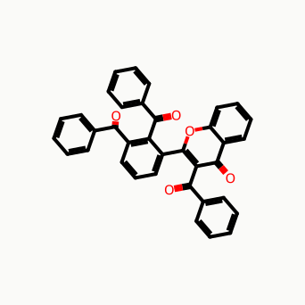 O=C(c1ccccc1)c1cccc(-c2oc3ccccc3c(=O)c2C(=O)c2ccccc2)c1C(=O)c1ccccc1